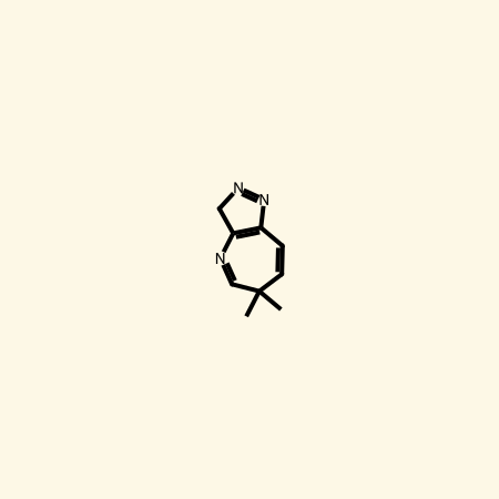 CC1(C)C=CC2=C(CN=N2)N=C1